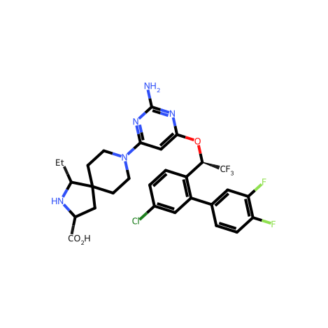 CCC1NC(C(=O)O)CC12CCN(c1cc(O[C@H](c3ccc(Cl)cc3-c3ccc(F)c(F)c3)C(F)(F)F)nc(N)n1)CC2